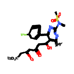 CCOC(=O)CC(=O)CC(=O)C=C(O)c1c(-c2ccc(F)cc2)nc(N(C)S(C)(=O)=O)nc1C(C)C